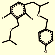 CC(C)OCc1c(F)ccc(CC(C)OCc2ccc(Cl)cc2)c1F